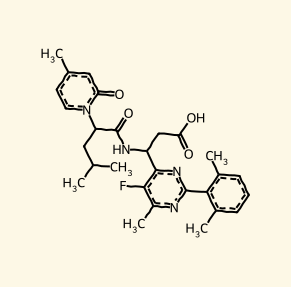 Cc1ccn(C(CC(C)C)C(=O)NC(CC(=O)O)c2nc(-c3c(C)cccc3C)nc(C)c2F)c(=O)c1